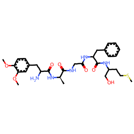 COc1ccc(CC(N)C(=O)N[C@H](C)C(=O)NCC(=O)NC(Cc2ccccc2)C(=O)NC(CO)CCSC)cc1OC